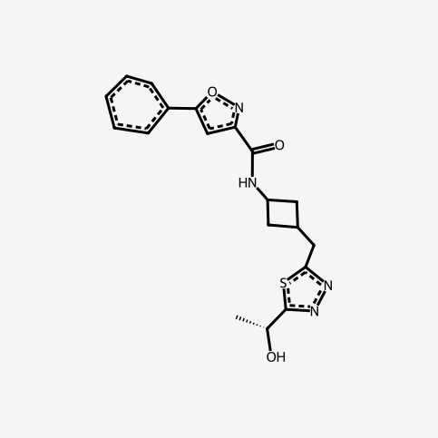 C[C@@H](O)c1nnc(CC2CC(NC(=O)c3cc(-c4ccccc4)on3)C2)s1